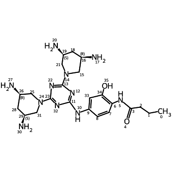 CCCC(=O)Nc1ccc(Nc2nc(N3C[C@H](N)C[C@H](N)C3)nc(N3C[C@H](N)C[C@H](N)C3)n2)cc1O